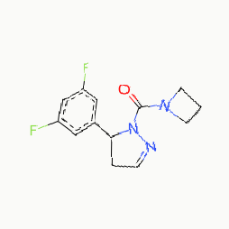 O=C(N1CCC1)N1N=CCC1c1cc(F)cc(F)c1